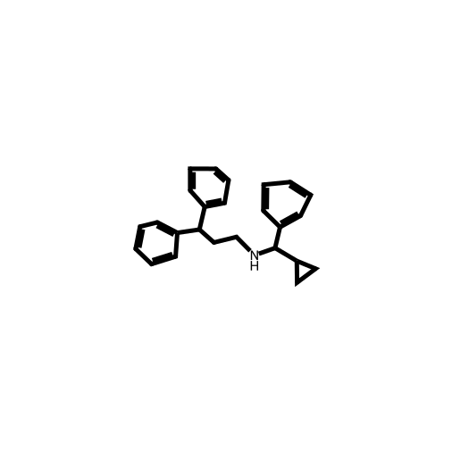 c1ccc(C(CCNC(c2ccccc2)C2CC2)c2ccccc2)cc1